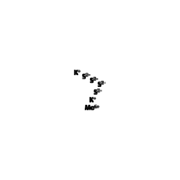 [K+].[K+].[Mo+6].[S-2].[S-2].[S-2].[S-2]